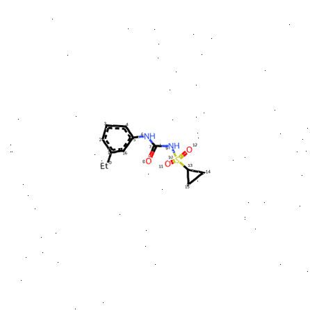 CCc1cccc(NC(=O)NS(=O)(=O)C2CC2)c1